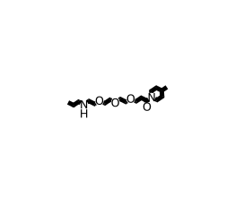 CCCNCCOCCOCCOCCC(=O)N1CCC(C)CC1